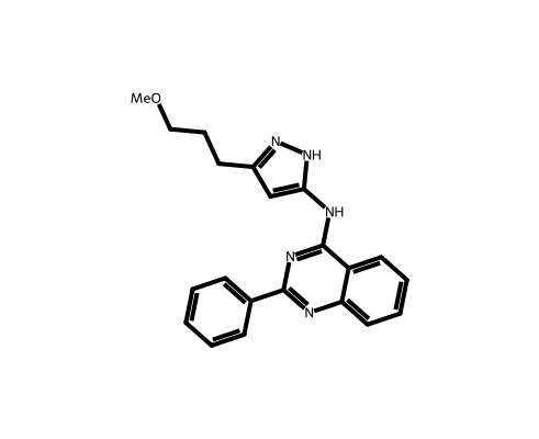 COCCCc1cc(Nc2nc(-c3ccccc3)nc3ccccc23)[nH]n1